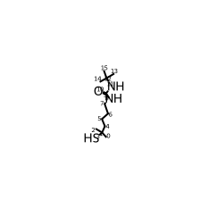 CC(C)(S)CCCCNC(=O)NC(C)(C)C